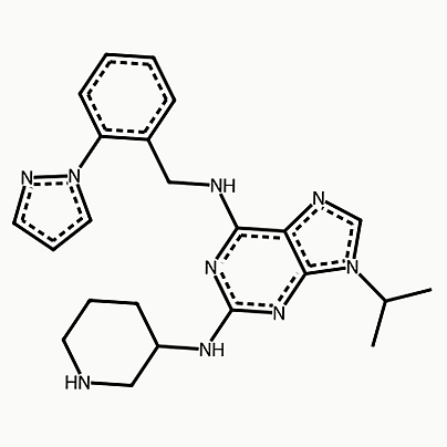 CC(C)n1cnc2c(NCc3ccccc3-n3cccn3)nc(NC3CCCNC3)nc21